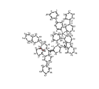 c1ccc(-c2ccc(C3(c4cccc(-c5ccccc5)c4)c4ccccc4-c4c3ccc3c5ccccc5n(-c5ccc(N(c6ccc(-c7ccc8ccccc8c7)cc6)c6ccc(-c7ccccc7)cc6-c6ccccc6)cc5)c43)cc2)cc1